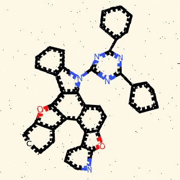 c1ccc(-c2nc(-c3ccccc3)nc(-n3c4ccccc4c4c5oc6ccccc6c5c5c(ccc6oc7ncccc7c65)c43)n2)cc1